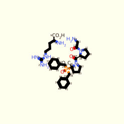 N=C(N)NCCC[C@H](N)C(=O)O.NCC(=O)N1CCC[C@H]1C(=O)N1CCC[C@]1(C(=O)O)P(=O)(Cc1ccccc1)Cc1ccccc1